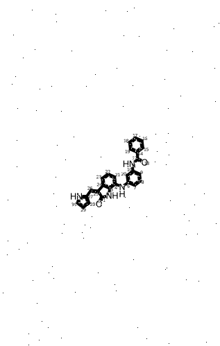 O=C1Nc2c(Nc3cccc(NC(=O)c4ccccc4)c3)cccc2C1=Cc1ccc[nH]1